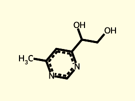 Cc1cc(C(O)CO)ncn1